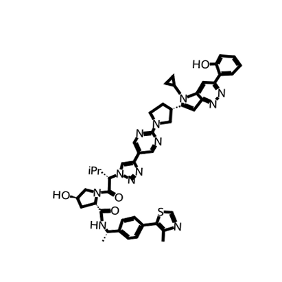 Cc1ncsc1-c1ccc([C@H](C)NC(=O)[C@@H]2C[C@@H](O)CN2C(=O)[C@H](C(C)C)n2cc(-c3cnc(N4CC[C@H](c5cc6nnc(-c7ccccc7O)cc6n5C5CC5)C4)nc3)nn2)cc1